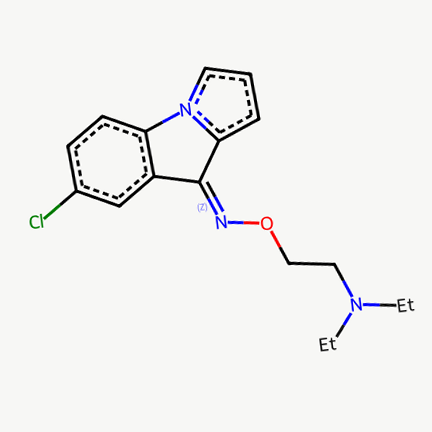 CCN(CC)CCO/N=C1/c2cc(Cl)ccc2-n2cccc21